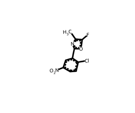 Cc1nc(-c2cc([N+](=O)[O-])ccc2Cl)oc1F